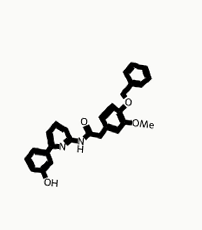 COc1cc(CC(=O)Nc2cccc(-c3cccc(O)c3)n2)ccc1OCc1ccccc1